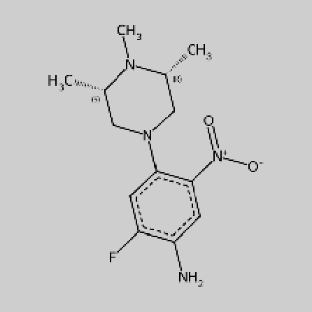 C[C@@H]1CN(c2cc(F)c(N)cc2[N+](=O)[O-])C[C@H](C)N1C